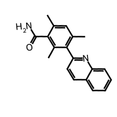 Cc1cc(C)c(-c2ccc3ccccc3n2)c(C)c1C(N)=O